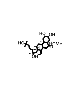 CO/N=C1/C=C2C3=CC[C@H]([C@@](C)(O)[C@H](O)CCC(C)(C)O)[C@@]3(C)CCC2[C@@]2(C)C[C@H](O)[C@H](O)C[C@@H]12